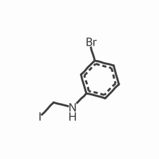 Brc1cccc(NCI)c1